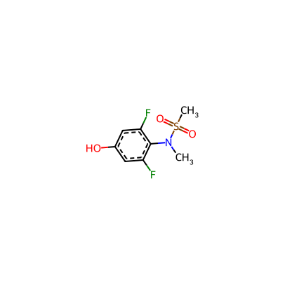 CN(c1c(F)cc(O)cc1F)S(C)(=O)=O